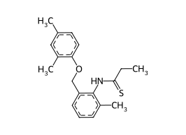 CCC(=S)Nc1c(C)cccc1COc1ccc(C)cc1C